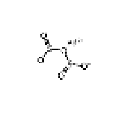 O=S([O-])OS(=O)[O-].[Pd+2]